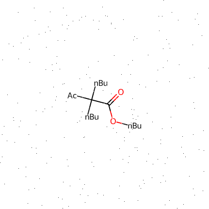 CCCCOC(=O)C(CCCC)(CCCC)C(C)=O